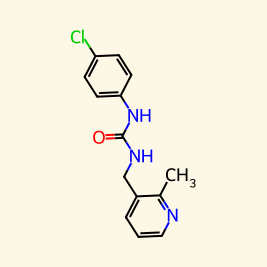 Cc1ncccc1CNC(=O)Nc1ccc(Cl)cc1